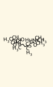 CC(CCC(C)(C)SCC(=O)NC(C)(C)C)N1C(=O)CC(C(C)(C)C)C1=O